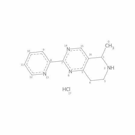 CC1NCCc2nc(-c3ccccn3)ncc21.Cl